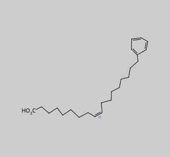 O=C(O)CCCCCCC/C=C\CCCCCCCCc1ccccc1